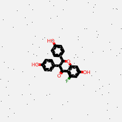 O=C1c2c(F)cc(O)cc2OC(c2ccc(O)cc2)C1c1ccc(O)cc1